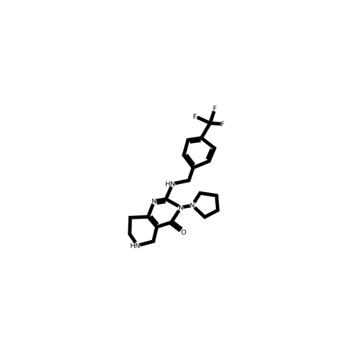 O=c1c2c(nc(NCc3ccc(C(F)(F)F)cc3)n1N1CCCC1)CCNC2